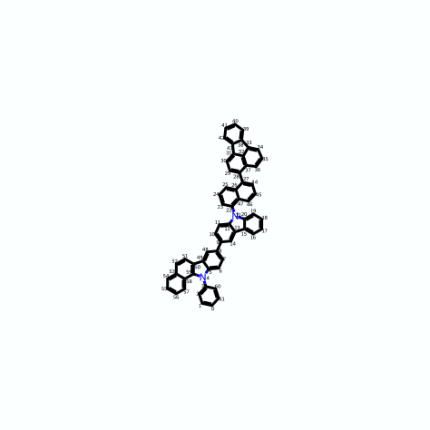 c1ccc(-n2c3ccc(-c4ccc5c(c4)c4ccccc4n5-c4cccc5c(-c6ccc7c8c(cccc68)-c6ccccc6-7)cccc45)cc3c3ccc4ccccc4c32)cc1